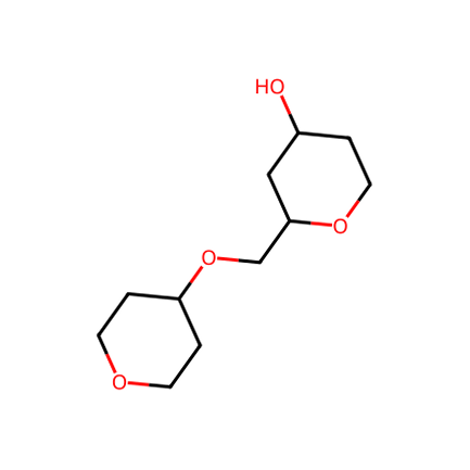 OC1CCOC(COC2CCOCC2)C1